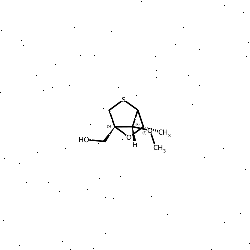 CO[C@H]1C2SC[C@@]1(CO)O[C@H]2C